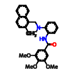 COc1cc(C(=O)Nc2ccccc2N(C=O)Cc2c(C)ccc3ccccc23)cc(OC)c1OC